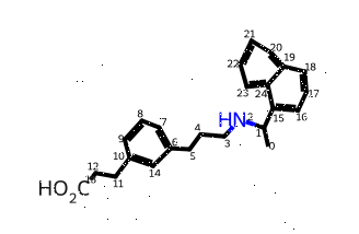 CC(NCCCc1cccc(CCC(=O)O)c1)c1cccc2ccccc12